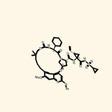 C=C[C@@H]1C[C@]1(NC(=O)[C@@H]1C[C@@H]2CN1C(=O)[C@H](C1CCCCC1)NC(=O)OCC(C)(C)CCCc1cc3c(cc(OC(C)C)nc3cc1OC)O2)C(=O)NS(=O)(=O)C1CC1